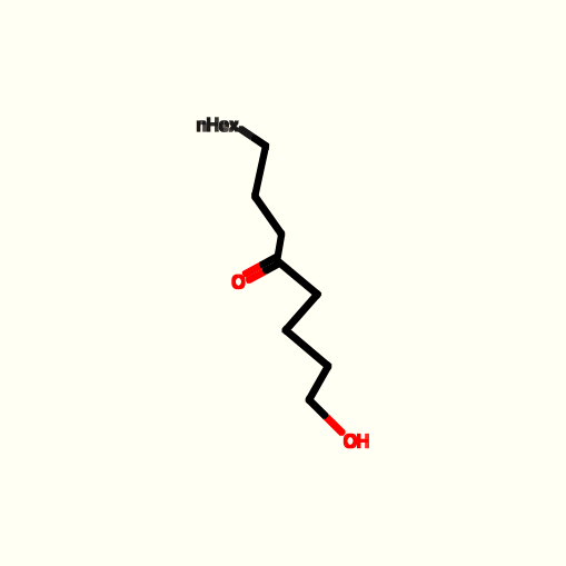 CCCCCCCCCC(=O)CCCCO